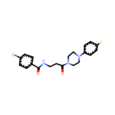 O=C(NCCC(=O)N1CCN(c2ccc(F)cc2)CC1)c1ccc(Cl)cc1